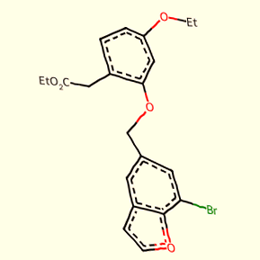 CCOC(=O)Cc1ccc(OCC)cc1OCc1cc(Br)c2occc2c1